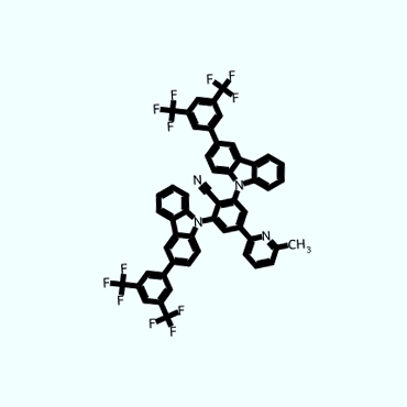 Cc1cccc(-c2cc(-n3c4ccccc4c4cc(-c5cc(C(F)(F)F)cc(C(F)(F)F)c5)ccc43)c(C#N)c(-n3c4ccccc4c4cc(-c5cc(C(F)(F)F)cc(C(F)(F)F)c5)ccc43)c2)n1